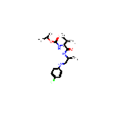 CC(CNc1ccc(Cl)cc1)NC(=O)[C@@H](NC(=O)OC(C)C)C(C)C